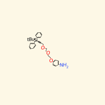 CC(C)(C)[Si](C#CCOCCOCCOc1ccc(N)cc1)(c1ccccc1)c1ccccc1